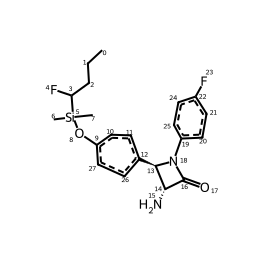 CCCC(F)[Si](C)(C)Oc1ccc([C@@H]2[C@@H](N)C(=O)N2c2ccc(F)cc2)cc1